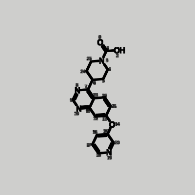 O=C(O)N1CCC(c2ncnc3cc(Oc4cccnc4)ccc23)CC1